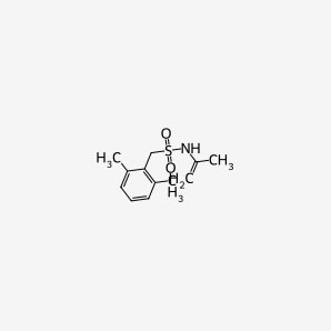 C=C(C)NS(=O)(=O)Cc1c(C)cccc1C